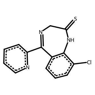 S=C1CN=C(c2ccccn2)c2cccc(Cl)c2N1